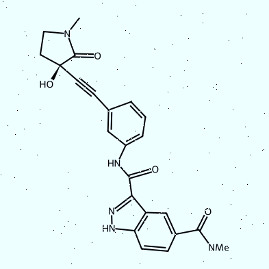 CNC(=O)c1ccc2[nH]nc(C(=O)Nc3cccc(C#C[C@]4(O)CCN(C)C4=O)c3)c2c1